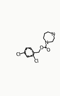 O=C(OCc1ccc(Cl)cc1Cl)N1CCC[N]CC1